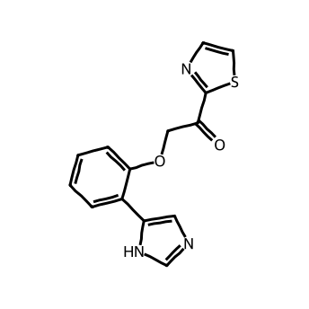 O=C(COc1ccccc1-c1cnc[nH]1)c1nccs1